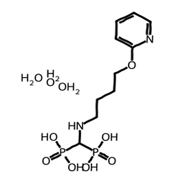 O.O.O.O=P(O)(O)C(NCCCCOc1ccccn1)P(=O)(O)O